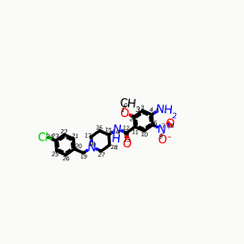 COc1cc(N)c([N+](=O)[O-])cc1C(=O)NC1CCN(Cc2ccc(Cl)cc2)CC1